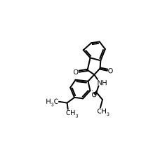 CCC(=O)NC1(c2[c]cc(C(C)C)cc2)C(=O)c2ccccc2C1=O